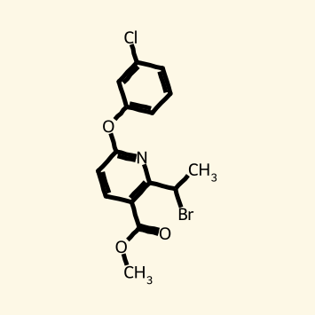 COC(=O)c1ccc(Oc2cccc(Cl)c2)nc1C(C)Br